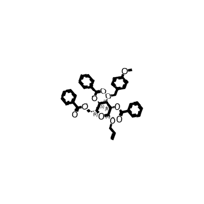 C=CCO[C@@H]1O[C@H](COC(=O)c2ccccc2)[C@H](OC(=O)c2ccccc2)[C@H](OCc2ccc(OC)cc2)[C@H]1OC(=O)c1ccccc1